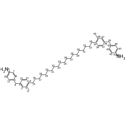 Cc1cc(Cc2ccc(N)cc2)ccc1CCCCCCCCCCCCCCCCCCCCc1ccc(Cc2ccc(N)cc2)cc1C